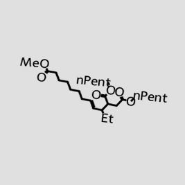 CCCCCOC(=O)CC(C(=O)OCCCCC)C(/C=C/CCCCCCC(=O)OC)CC